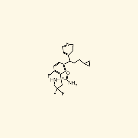 NC(=O)[C@]1(c2cc(C(CCC3CC3)c3ccncc3)ccc2F)CC(F)(F)CN1